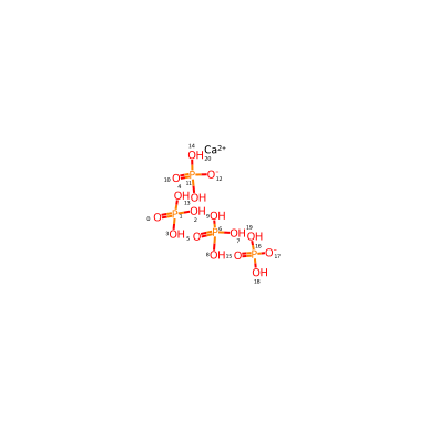 O=P(O)(O)O.O=P(O)(O)O.O=P([O-])(O)O.O=P([O-])(O)O.[Ca+2]